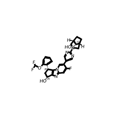 O=C(O)C1[C@@H]2CC[C@H]1CN(c1ncc(-c3cn4c5c(nc4cc3F)[C@H](O)C[C@@H]5c3ccccc3OC(F)F)cn1)C2